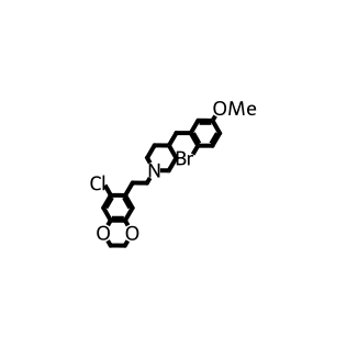 COc1ccc(Br)c(CC2CCN(CCc3cc4c(cc3Cl)OCCO4)CC2)c1